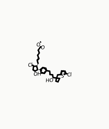 COC(=O)CCCC=CC[C@H]1C(Cl)C[C@@H](O)[C@H]1c1ccc(CCCC(O)C2(Cc3ccc(Cl)s3)CCC2)cc1